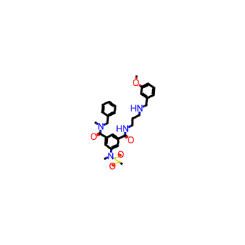 COc1cccc(CNCCCNC(=O)c2cc(C(=O)N(C)Cc3ccccc3)cc(N(C)S(C)(=O)=O)c2)c1